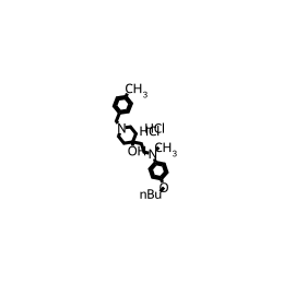 CCCCOc1ccc(N(C)CCC2(O)CCN(Cc3ccc(C)cc3)CC2)cc1.Cl.Cl